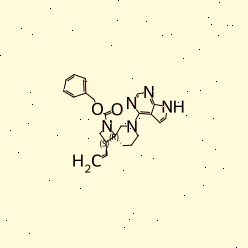 C=C[C@H]1CN(C(=O)OCc2ccccc2)[C@]12CCCN(c1ncnc3[nH]ccc13)C2